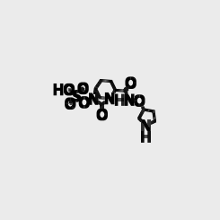 O=C(NOC1CCNC1)C1CCC2CN1C(=O)N2OS(=O)(=O)O